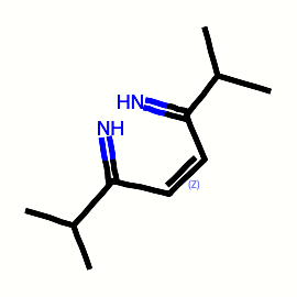 CC(C)C(=N)/C=C\C(=N)C(C)C